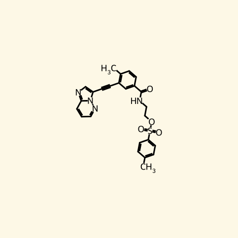 Cc1ccc(S(=O)(=O)OCCNC(=O)c2ccc(C)c(C#Cc3cnc4cccnn34)c2)cc1